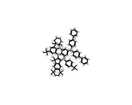 CC(C)(C)c1ccc(N2C3=C(B4c5cc(C(C)(C)C)cc6c5N(c5cc(N(c7ccc(-c8ccccc8)cc7)c7ccc(-c8ccccc8)cc7)cc2c54)C2(C)CCCCC62C)C(C)(C)c2cc4c(cc23)C(C)(C)CCC4(C)C)cc1